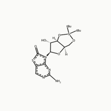 CC(C)(C)[Si]1(C(C)(C)C)OC[C@H]2O[C@@H](n3c(=O)sc4cnc(N)nc43)[C@H](O)[C@H]2O1